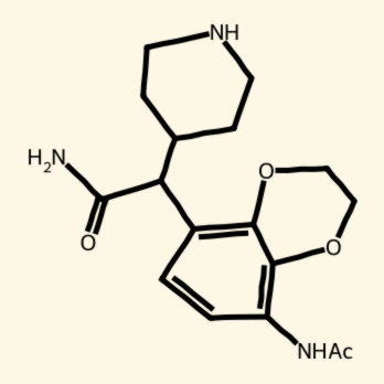 CC(=O)Nc1ccc(C(C(N)=O)C2CCNCC2)c2c1OCCO2